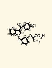 CC(Oc1cccc(Cn2cc(C(=O)c3ccc(Cl)cc3)c3nccnc32)c1)C(=O)O